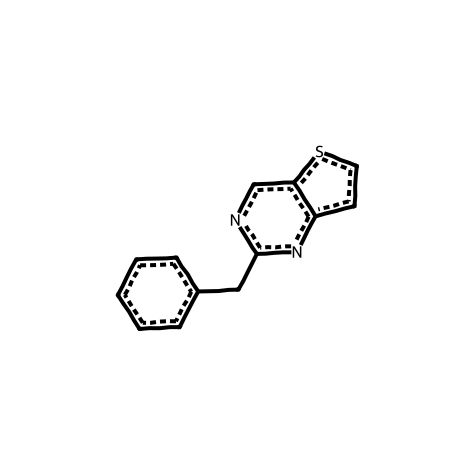 c1ccc(Cc2ncc3sccc3n2)cc1